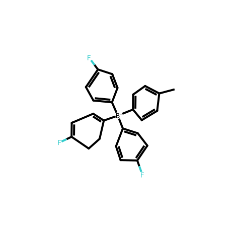 Cc1ccc([B-](C2=CC=C(F)CC2)(c2ccc(F)cc2)c2ccc(F)cc2)cc1